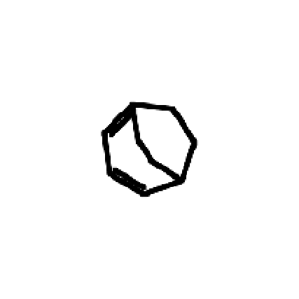 C1=CC2CCC(=C1)CC2